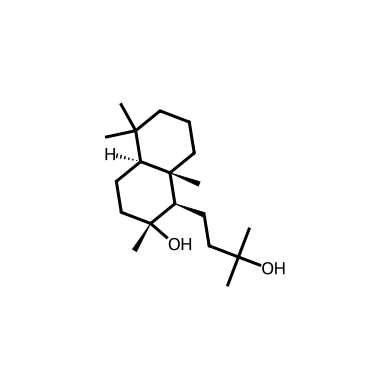 CC(C)(O)CC[C@@H]1[C@@]2(C)CCCC(C)(C)[C@@H]2CC[C@@]1(C)O